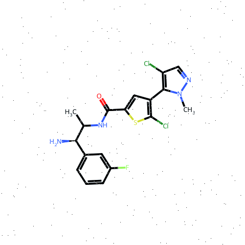 CC(NC(=O)c1cc(-c2c(Cl)cnn2C)c(Cl)s1)[C@H](N)c1cccc(F)c1